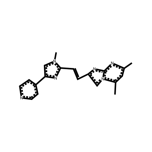 Cc1cc(C)n2cc(C=Cc3nc(-c4ccncc4)cn3C)nc2n1